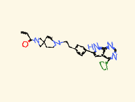 C=CC(=O)N1CC2(CCN(CCc3ccc(-c4cc5c(Cl)ncnc5[nH]4)cc3)CC2)C1